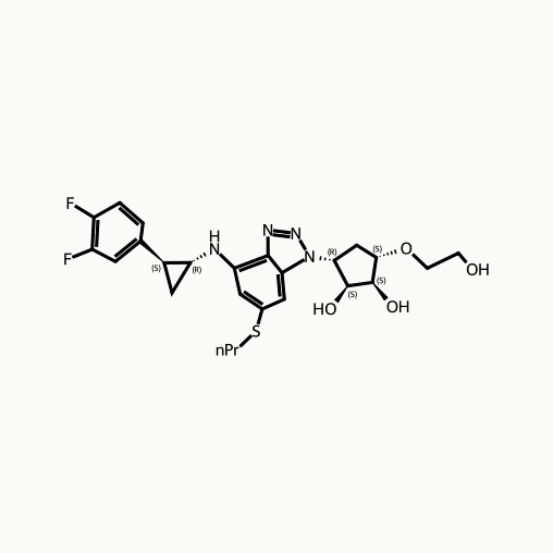 CCCSc1cc(N[C@@H]2C[C@H]2c2ccc(F)c(F)c2)c2nnn([C@@H]3C[C@H](OCCO)[C@@H](O)[C@H]3O)c2c1